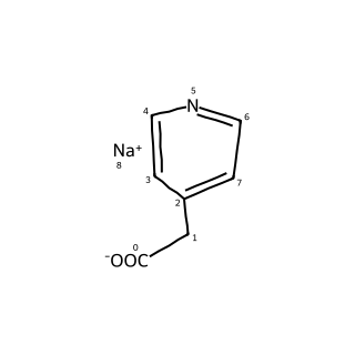 O=C([O-])Cc1ccncc1.[Na+]